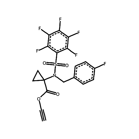 C#COC(=O)C1(N(Cc2ccc(F)cc2)S(=O)(=O)c2c(F)c(F)c(F)c(F)c2F)CC1